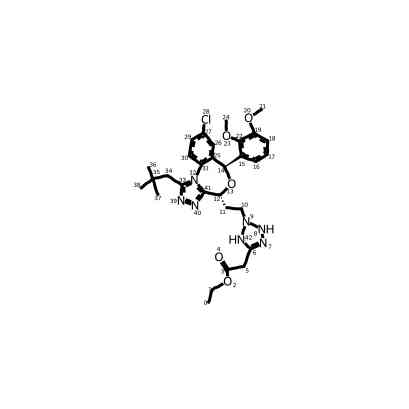 CCOC(=O)CC1=NNN(CC[C@H]2O[C@H](c3cccc(OC)c3OC)c3cc(Cl)ccc3-n3c(CC(C)(C)C)nnc32)N1